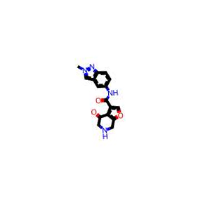 Cn1cc2cc(NC(=O)c3coc4c3C(=O)CNC4)ccc2n1